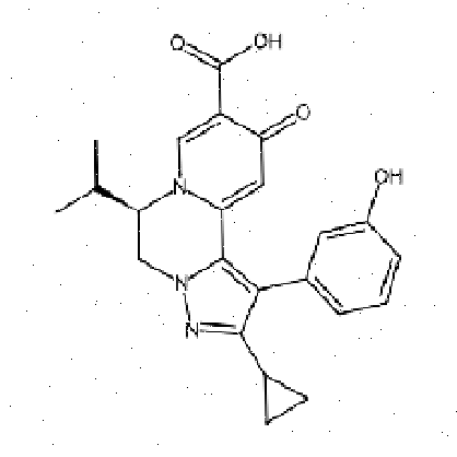 CC(C)[C@@H]1Cn2nc(C3CC3)c(-c3cccc(O)c3)c2-c2cc(=O)c(C(=O)O)cn21